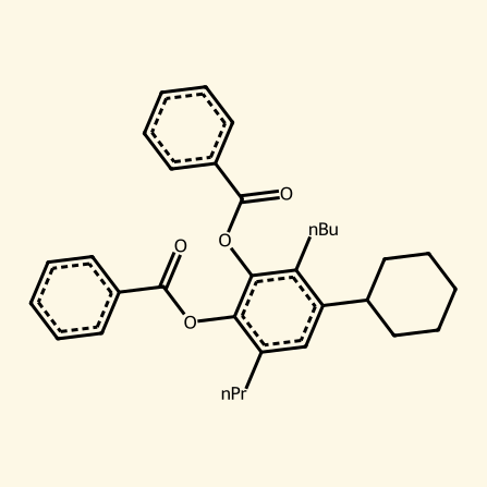 CCCCc1c(C2CCCCC2)cc(CCC)c(OC(=O)c2ccccc2)c1OC(=O)c1ccccc1